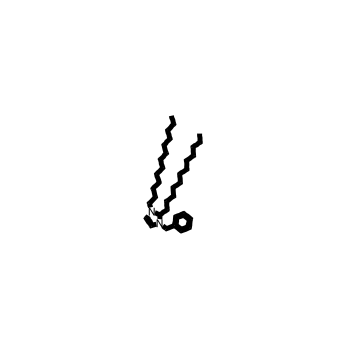 CCCCCCCCCCCCCN1C=CN(Cc2ccccc2)C1CCCCCCCCCCCC